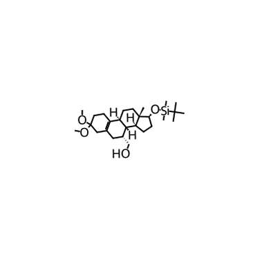 COC1(OC)CCC2=C(C[C@@H](CO)[C@@H]3[C@@H]2CC[C@]2(C)[C@@H](O[Si](C)(C)C(C)(C)C)CC[C@@H]32)C1